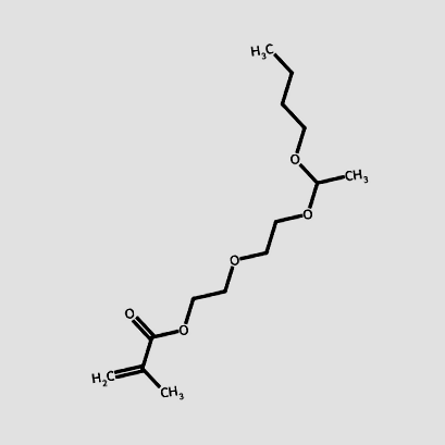 C=C(C)C(=O)OCCOCCOC(C)OCCCC